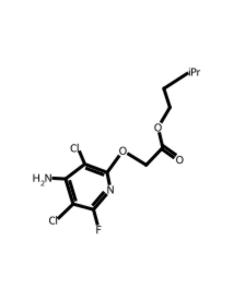 CC(C)CCOC(=O)COc1nc(F)c(Cl)c(N)c1Cl